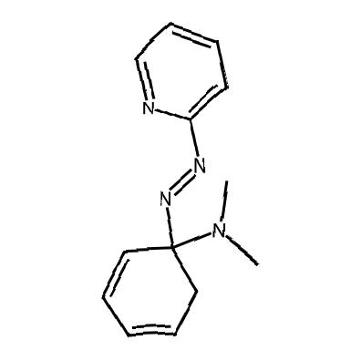 CN(C)C1(N=Nc2ccccn2)C=CC=CC1